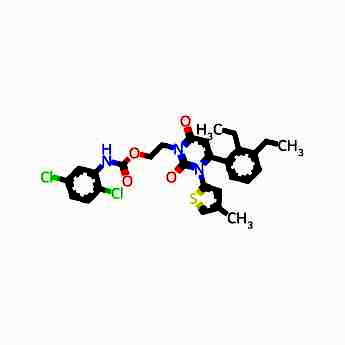 CCc1cccc(-c2cc(=O)n(CCOC(=O)Nc3cc(Cl)ccc3Cl)c(=O)n2-c2cc(C)cs2)c1CC